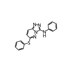 c1ccc(Nc2nnc3ccc(Sc4ccccc4)nn23)cc1